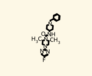 C[C@@H]1CN(c2ncc(F)cn2)C[C@H](C)N1C(=O)NC1CCN(Cc2ccccc2)CC1